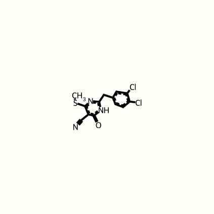 CSc1nc(Cc2ccc(Cl)c(Cl)c2)[nH]c(=O)c1C#N